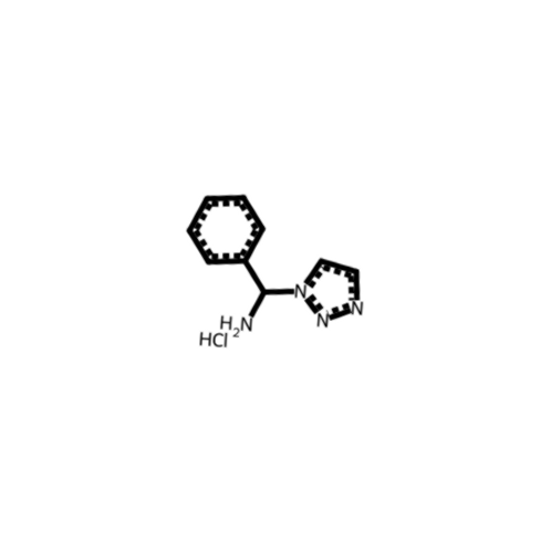 Cl.NC(c1ccccc1)n1ccnn1